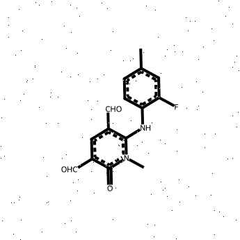 Cc1ccc(Nc2c(C=O)cc(C=O)c(=O)n2C)c(F)c1